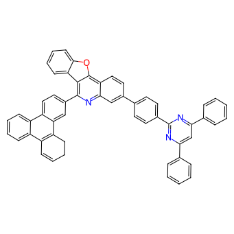 C1=Cc2c(c3cc(-c4nc5cc(-c6ccc(-c7nc(-c8ccccc8)cc(-c8ccccc8)n7)cc6)ccc5c5oc6ccccc6c45)ccc3c3ccccc23)CC1